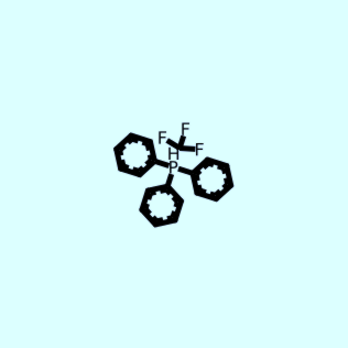 FC(F)(F)[PH](c1ccccc1)(c1ccccc1)c1ccccc1